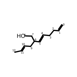 C=CCCC=CC(CO)CC=CC